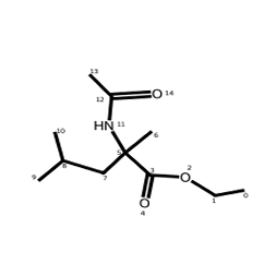 CCOC(=O)C(C)(CC(C)C)NC(C)=O